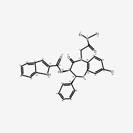 CCN(CC)C(=O)CN1C(=O)[C@H](NC(=O)c2cc3ccccc3[nH]2)[C@H](c2ccccc2)Sc2cc(Cl)ccc21